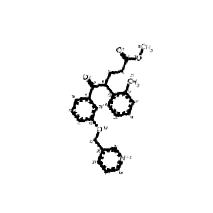 COC(=O)CCC(C(=O)c1cccc(OCc2cccnc2)c1)c1ccccc1C